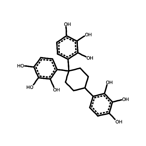 Oc1ccc(C2CCC(c3ccc(O)c(O)c3O)(c3ccc(O)c(O)c3O)CC2)c(O)c1O